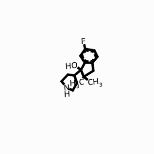 CC1(C)Cc2ccc(F)cc2C1(O)C1CCNCC1